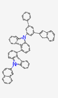 C1=C(c2cc(-c3ccccc3)cc(-n3c4ccccc4c4c(-c5cccc6c5c5ccccc5n6-c5ccc6ccccc6c5)cccc43)c2)Cc2ccccc21